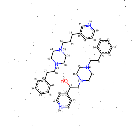 OC(CN1CCN(CCc2ccccc2)CC1)c1ccncc1.c1ccc(CCN2CCN(CCCc3cccnc3)CC2)cc1